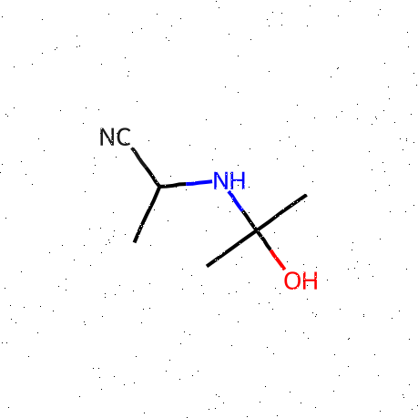 CC(C#N)NC(C)(C)O